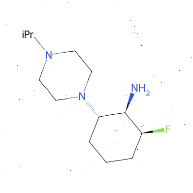 CC(C)N1CCN([C@H]2CCC[C@H](F)[C@@H]2N)CC1